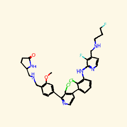 COc1cc(-c2nccc(-c3cccc(Nc4nccc(CNCCCF)c4F)c3Cl)c2Cl)ccc1CNCC1CCC(=O)N1